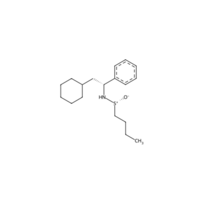 CCCC[S@@+]([O-])N[C@H](CC1CCCCC1)c1ccccc1